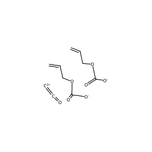 C=CCOC(=O)[O-].C=CCOC(=O)[O-].[C+2]=C=O